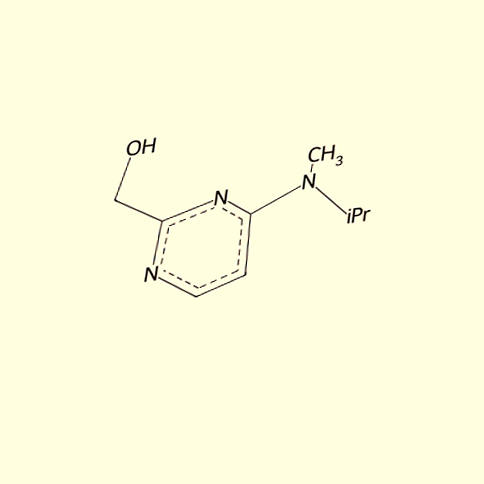 CC(C)N(C)c1ccnc(CO)n1